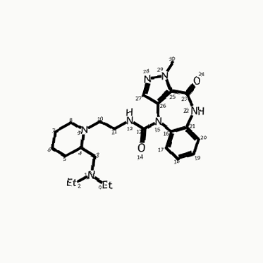 CCN(CC)CC1CCCCN1CCNC(=O)N1c2ccccc2NC(=O)c2c1cnn2C